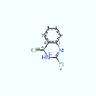 ClC1=Nc2ccccc2C(Cl)N1